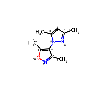 Cc1[c]c(C)n(-c2c(C)noc2C)n1